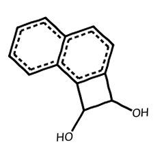 OC1c2ccc3ccccc3c2C1O